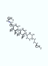 C=CCCC1CCC(c2ccc(-c3ccc(O/C=C/C)c(F)c3F)c(F)c2F)CC1